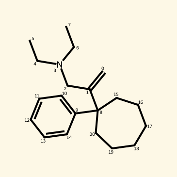 C=C(CN(CC)CC)C1(c2ccccc2)CCCCCC1